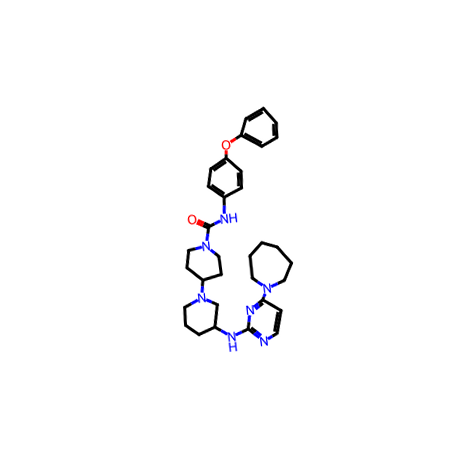 O=C(Nc1ccc(Oc2ccccc2)cc1)N1CCC(N2CCCC(Nc3nccc(N4CCCCCC4)n3)C2)CC1